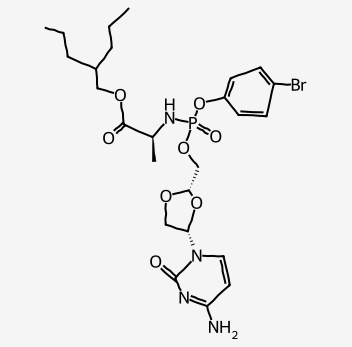 CCCC(CCC)COC(=O)[C@H](C)NP(=O)(OC[C@H]1OC[C@@H](n2ccc(N)nc2=O)O1)Oc1ccc(Br)cc1